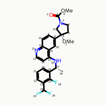 COC(=O)N1CC[C@@](OC)(c2ccc3nccc(N[C@H](C)c4cccc(C(F)F)c4F)c3c2)C1